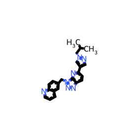 CC(C)Cn1cc(-c2ccc3nnn(Cc4ccc5ncccc5c4)c3n2)cn1